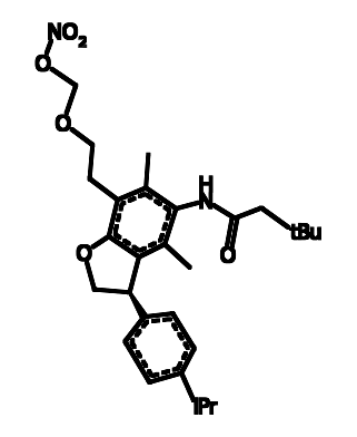 Cc1c(CCOCO[N+](=O)[O-])c2c(c(C)c1NC(=O)CC(C)(C)C)[C@@H](c1ccc(C(C)C)cc1)CO2